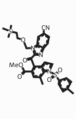 COC(=O)c1cc(C)c2c(ccn2S(=O)(=O)c2ccc(C)cc2)c1C(=O)c1nc2ccc(C#N)cc2n1COCC[Si](C)(C)C